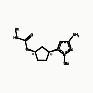 CC(C)NC(=O)O[C@@H]1CC[C@H](c2cc(N)nn2C(C)(C)C)C1